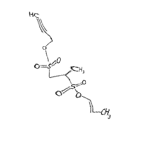 C#CCOS(=O)(=O)CC(C)S(=O)(=O)OC=CC